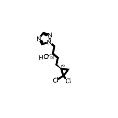 O[C@@H](CC[C@H]1CC1(Cl)Cl)Cn1cncn1